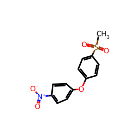 CS(=O)(=O)c1ccc(Oc2ccc([N+](=O)[O-])cc2)cc1